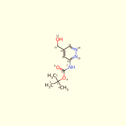 CC(C)(C)OC(=O)Nc1cc(CO)cnn1